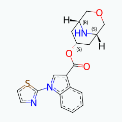 O=C(O[C@H]1C[C@H]2COC[C@@H](C1)N2)c1cn(-c2nccs2)c2ccccc12